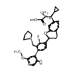 COc1cc(-c2ccc(C3CCc4ccc([C@H](C5CC5)[C@H](C)C(=O)O)cc4O3)c(F)c2CN2CCCC2)c(Cl)cn1